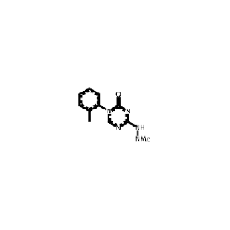 CNNc1ncn(-c2ccccc2C)c(=O)n1